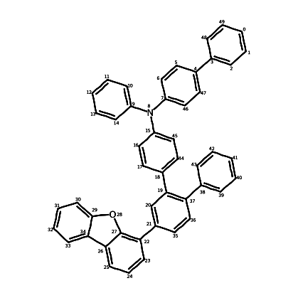 c1ccc(-c2ccc(N(c3ccccc3)c3ccc(-c4cc(-c5cccc6c5oc5ccccc56)ccc4-c4ccccc4)cc3)cc2)cc1